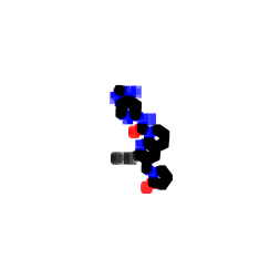 O=Cc1nc2c(cc1CN1CCCC1=O)CCCN2C(=O)Nc1cc2[nH]cnc2cn1